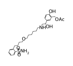 CC(=O)OCc1cc([C@@H](O)CNCCCCCCOCCCCc2ccccc2S(N)(=O)=O)ccc1O